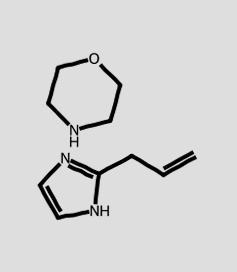 C1COCCN1.C=CCc1ncc[nH]1